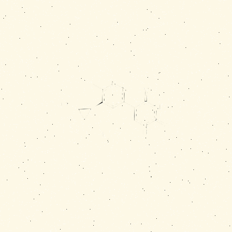 Cc1nnc(-c2c[nH]c(=O)[nH]c2=O)cc1[C@H]1C[C@@H]1C(C)C.O